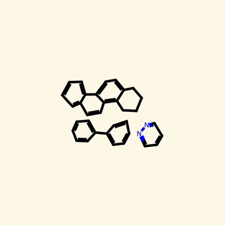 c1ccc(-c2ccccc2)cc1.c1ccc2c(c1)ccc1c3c(ccc12)CCCC3.c1ccnnc1